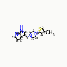 Cc1csc(N2CCN(Cc3c[nH]c4ncccc34)CC2)c1